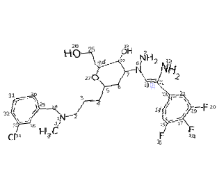 CN(CCCC1CC(N(N)/C=C(\N)c2cc(F)c(F)c(F)c2)C(O)C(CO)O1)Cc1cccc(Cl)c1